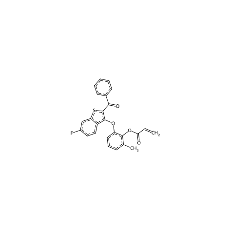 C=CC(=O)Oc1c(C)cccc1Oc1c(C(=O)c2ccccc2)sc2cc(F)ccc12